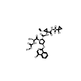 C=C[C@@H]1C[C@]1(NC(=O)[C@@H]1C[C@@H](Oc2ncc(Cl)c3ccccc23)CN1C(=O)[C@@H](NC(=O)OC(C)C)C(C)(C)C)C(=O)NS(=O)(=O)C1(CC)CC1